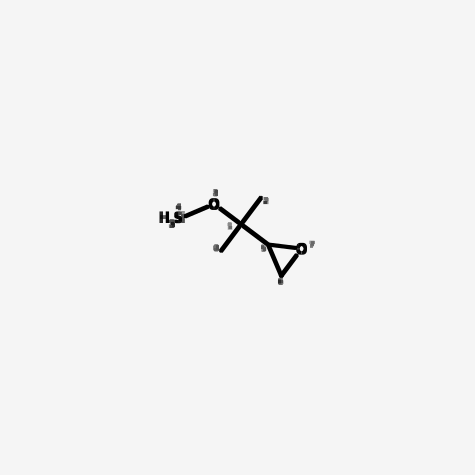 CC(C)(O[SiH3])C1CO1